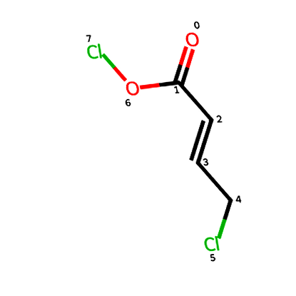 O=C(/C=C/CCl)OCl